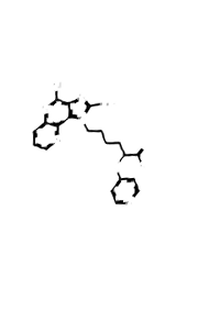 CCCCc1nc2c(N)nc3cccnc3c2n1CCCCC(Sc1ccncc1)C(N)=O